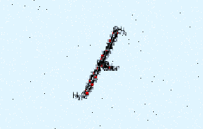 CCCCCCCCCCCCCCCCCCOCCCCCCCCCCCCCCCCCC.CCCCCCCCCCCCCCCCCCOCCCCCCCCCCCCCCCCCC.O=S(=O)([O-])[O-].[Na+].[Na+]